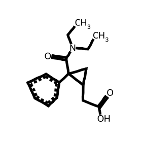 CCN(CC)C(=O)C1(c2ccccc2)CC1CC(=O)O